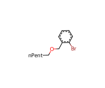 CCCCCCOCc1ccccc1Br